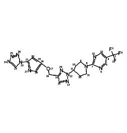 FC(F)(F)c1cnc(N2CCC(n3ncc(COc4ccc(-n5cnnn5)nc4)n3)CC2)nc1